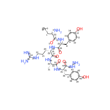 CC(C)C[C@H](N)C(=O)N[C@@H](Cc1ccc(O)cc1)C(=O)N[C@@H](CCCNC(=N)N)C(=O)N[C@@H](C)C(=O)N[C@@H](Cc1ccc(O)cc1)C(=O)NN